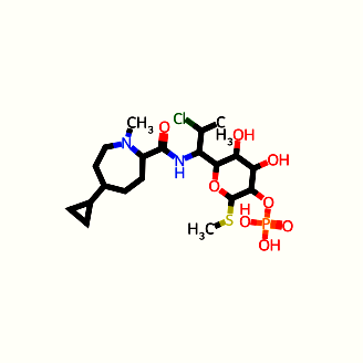 CSC1OC(C(NC(=O)C2CCC(C3CC3)CCN2C)C(C)Cl)C(O)C(O)C1OP(=O)(O)O